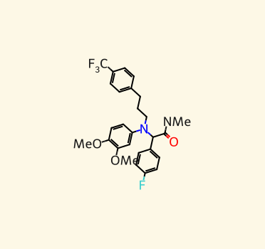 CNC(=O)C(c1ccc(F)cc1)N(CCCc1ccc(C(F)(F)F)cc1)c1ccc(OC)c(OC)c1